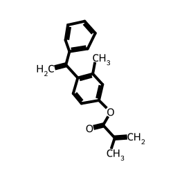 C=C(C)C(=O)Oc1ccc(C(=C)c2ccccc2)c(C)c1